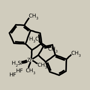 CC1=Cc2c(C)cccc2[CH]1[Zr]([CH3])([CH3])(=[SiH2])[CH]1C(C)=Cc2c(C)cccc21.F.F